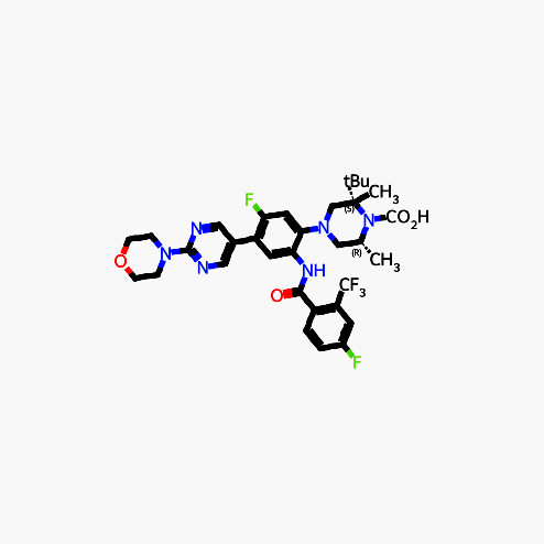 C[C@@H]1CN(c2cc(F)c(-c3cnc(N4CCOCC4)nc3)cc2NC(=O)c2ccc(F)cc2C(F)(F)F)C[C@](C)(C(C)(C)C)N1C(=O)O